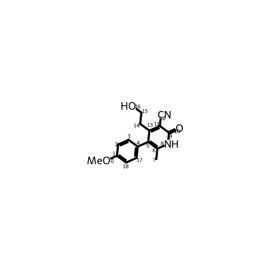 COc1ccc(-c2c(C)[nH]c(=O)c(C#N)c2CCO)cc1